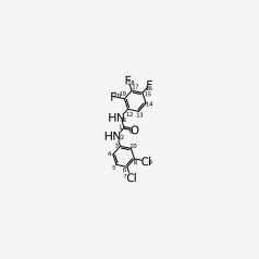 O=C(Nc1ccc(Cl)c(Cl)c1)Nc1ccc(F)c(F)c1F